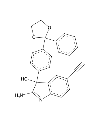 C#Cc1ccc2c(c1)C(O)(c1ccc(C3(c4ccccc4)OCCO3)cc1)C(N)=N2